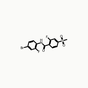 CS(=O)(=O)c1ccc(C(=O)Nc2ccc(Br)cc2F)c(F)c1